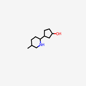 CC1CCC(C2CCC(O)C2)NC1